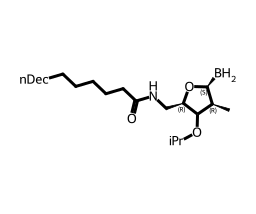 B[C@@H]1O[C@H](CNC(=O)CCCCCCCCCCCCCCC)C(OC(C)C)[C@@H]1C